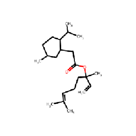 C=CC(C)(CCC=C(C)C)OC(=O)CC1CC(C)CCC1C(C)C